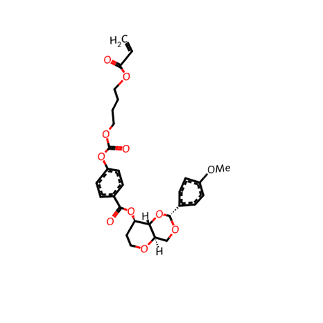 C=CC(=O)OCCCCOC(=O)Oc1ccc(C(=O)O[C@@H]2CCO[C@@H]3CO[C@@H](c4ccc(OC)cc4)O[C@H]32)cc1